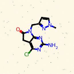 Cn1ccc(CN2C(=O)Cc3c(Cl)nc(N)nc32)n1